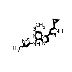 CSc1cn2c(-c3cc(C4CC4)[nH]n3)cnc2c(Nc2cc(C)ns2)n1